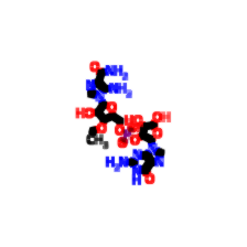 CCOC1C(COP(=O)(O)OC2C(O)C(O)OC2n2cnc3c(=O)[nH]c(N)nc32)OC(n2cnc(C(N)=O)c2N)C1O